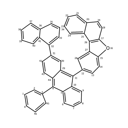 c1ccc(-c2c3ccccc3c(-c3ccc4oc5ccc6ccccc6c5c4c3)c3cc(-c4cccc5ccccc45)ccc23)cc1